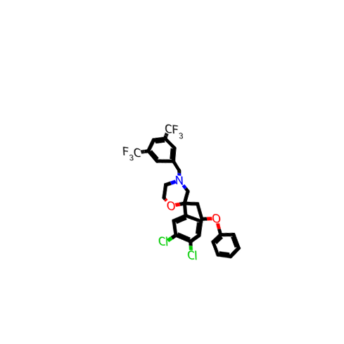 FC(F)(F)c1cc(CN2CCOC(CCOc3ccccc3)(c3ccc(Cl)c(Cl)c3)C2)cc(C(F)(F)F)c1